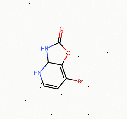 O=C1NC2NC=CC(Br)=C2O1